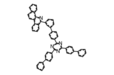 c1ccc(-c2ccc(-c3nc(-c4ccc(-c5ccccc5)cc4)nc(-c4ccc(-c5cccc(-c6nc7c8ccccc8ccc7c7ccccc67)c5)cc4)n3)cc2)cc1